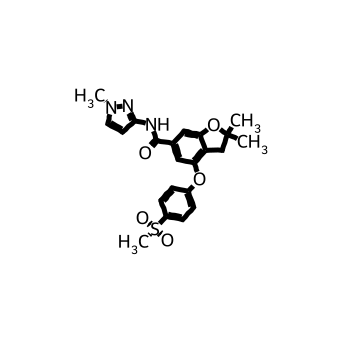 Cn1ccc(NC(=O)c2cc(Oc3ccc(S(C)(=O)=O)cc3)c3c(c2)OC(C)(C)C3)n1